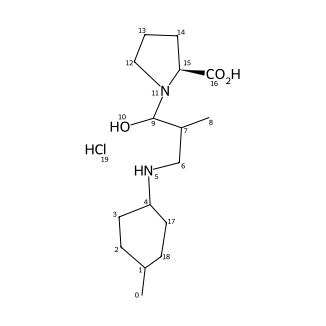 CC1CCC(NCC(C)C(O)N2CCC[C@H]2C(=O)O)CC1.Cl